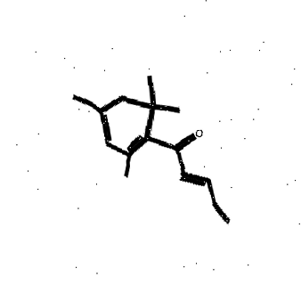 CC/C=C/C(=O)C1=C(C)C=C(C)CC1(C)C